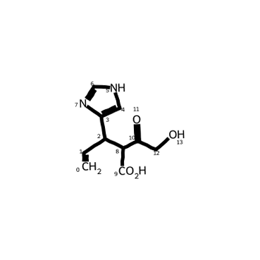 C=CC(c1c[nH]cn1)C(C(=O)O)C(=O)CO